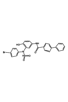 O=C(Nc1ccc(O)c(N(c2ccc(Br)cc2)[SH](=O)=O)c1)c1ccc(-c2ccccc2)cc1